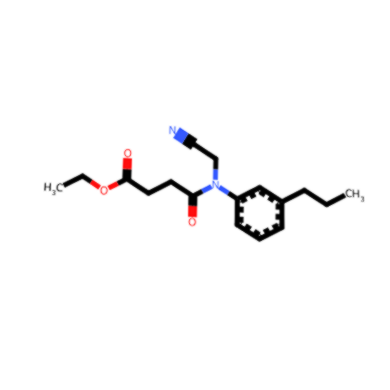 CCCc1cccc(N(CC#N)C(=O)CCC(=O)OCC)c1